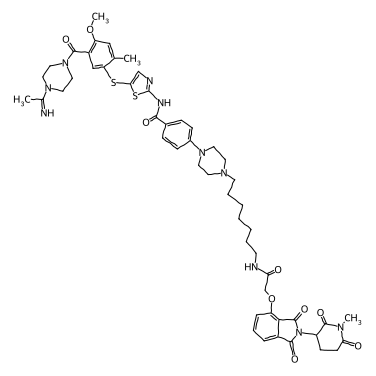 COc1cc(C)c(Sc2cnc(NC(=O)c3ccc(N4CCN(CCCCCCCNC(=O)COc5cccc6c5C(=O)N(C5CCC(=O)N(C)C5=O)C6=O)CC4)cc3)s2)cc1C(=O)N1CCN(C(C)=N)CC1